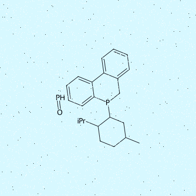 CC1CCC(C(C)C)C(P2Cc3ccccc3-c3ccccc32)C1.O=P